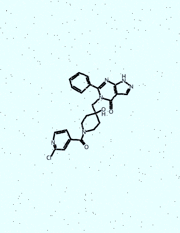 O=C(c1ccnc(Cl)c1)N1CCC(O)(Cn2c(-c3ccccc3)nc3[nH]ncc3c2=O)CC1